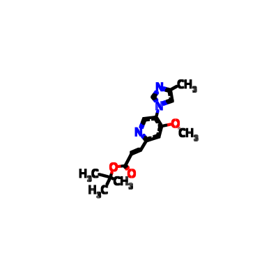 COc1cc(C=CC(=O)OC(C)(C)C)ncc1-n1cnc(C)c1